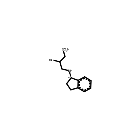 CC(C)(C)C(CN[C@@H]1CCc2ccccc21)CS(=O)(=O)O